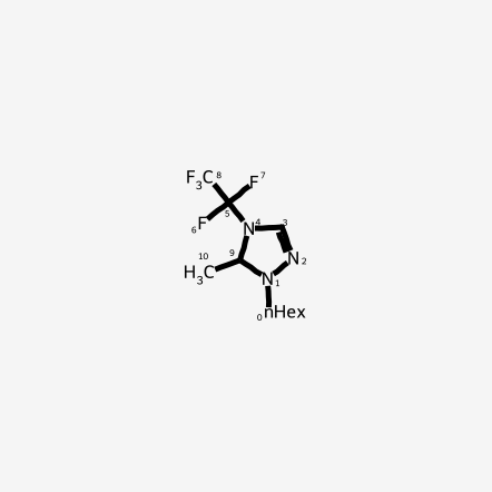 CCCCCCN1N=CN(C(F)(F)C(F)(F)F)C1C